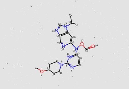 COC1CCN(c2nccc(N(OC=O)c3cc4c(cn3)ncn4C(C)C)n2)CC1